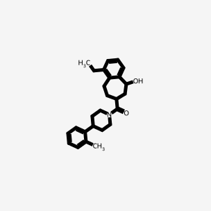 CCc1cccc2c1CCC(C(=O)N1CCC(c3ccccc3C)CC1)CC2O